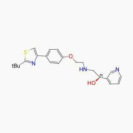 CC(C)(C)c1nc(-c2ccc(OCCNC[C@H](O)c3cccnc3)cc2)cs1